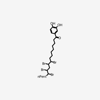 CCCCCC(Br)C(Br)CC(Br)C(Br)CCCCCCCC(=O)c1ccc(O)c(O)c1